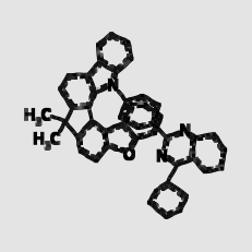 CC1(C)c2ccc3oc4ccccc4c3c2-c2c1ccc1c3ccccc3n(-c3ccc(-c4nc(-c5ccccc5)c5ccccc5n4)cc3)c21